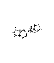 CN1C2C=C(c3ccc4scnc4c3)CC1CC2